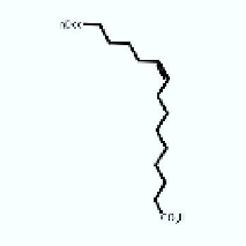 CCCCCCCCCCCCCC/C=C\CCCCCCCC(=O)O